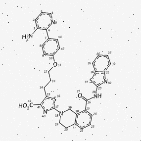 Nc1cccnc1-c1ccc(OCCCc2sc(N3CCc4cccc(C(=O)Nc5nc6ccccc6s5)c4C3)nc2C(=O)O)cc1